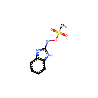 CS(=O)(=O)ONc1nc2ccccc2[nH]1